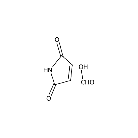 O=C1C=CC(=O)N1.O=CO